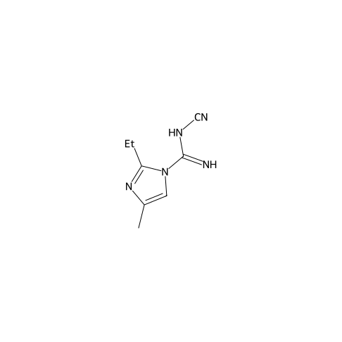 CCc1nc(C)cn1C(=N)NC#N